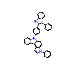 c1ccc(N2c3ccccc3NC2c2ccc(-n3c4ccccc4c4c5ccn(-c6ccccc6)c5ccc43)cc2)cc1